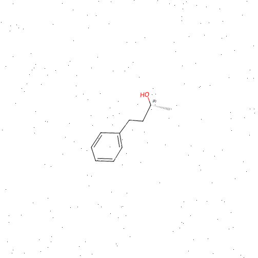 [CH2][C@@H](O)CCc1ccccc1